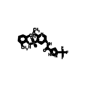 COc1ncc(NC(=O)c2cc(C(F)(F)F)n[nH]2)cc1S(=O)(=O)Nc1c(C)cccc1C